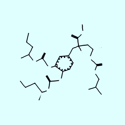 CCCC(C)OC(=O)Oc1cc(CC(N)(C[C@H](C)OC(=O)OCC(C)C)C(=O)OC)ccc1OC(=O)O[C@@H](C)CCC